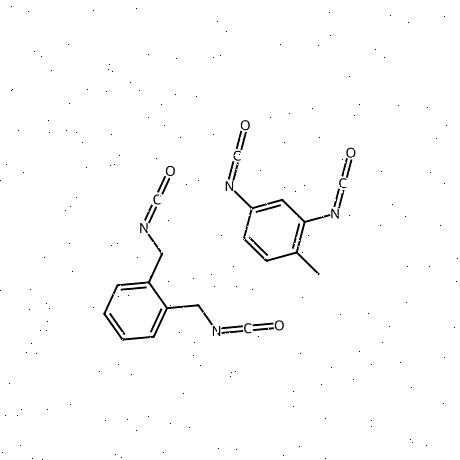 Cc1ccc(N=C=O)cc1N=C=O.O=C=NCc1ccccc1CN=C=O